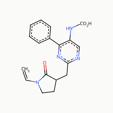 C=CN1CCC(Cc2ncc(NC(=O)O)c(-c3ccccc3)n2)C1=O